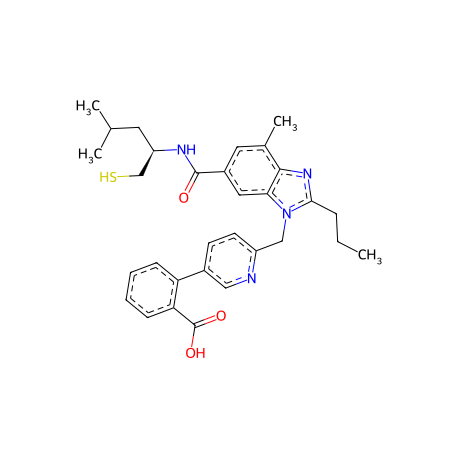 CCCc1nc2c(C)cc(C(=O)N[C@@H](CS)CC(C)C)cc2n1Cc1ccc(-c2ccccc2C(=O)O)cn1